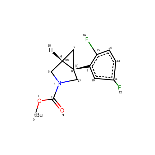 CC(C)(C)OC(=O)N1C[C@@H]2C[C@]2(c2cc(F)ccc2F)C1